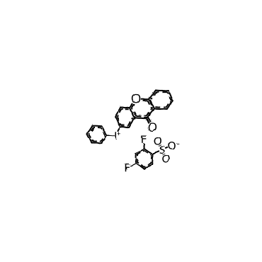 O=S(=O)([O-])c1ccc(F)cc1F.O=c1c2ccccc2oc2ccc([I+]c3ccccc3)cc12